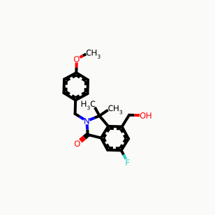 COc1ccc(CN2C(=O)c3cc(F)cc(CO)c3C2(C)C)cc1